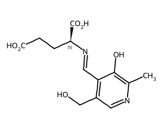 Cc1ncc(CO)c(C=N[C@@H](CCC(=O)O)C(=O)O)c1O